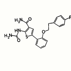 NC(=O)Nc1sc(-c2ccccc2OCCc2ccc(F)cc2)cc1C(N)=O